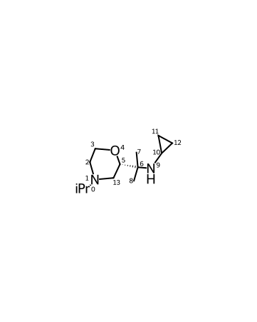 CC(C)N1CCO[C@H](C(C)(C)NC2CC2)C1